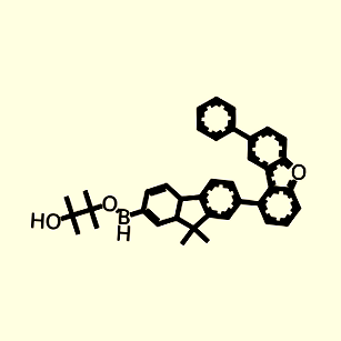 CC1(C)c2cc(-c3cccc4oc5ccc(-c6ccccc6)cc5c34)ccc2C2C=CC(BOC(C)(C)C(C)(C)O)=CC21